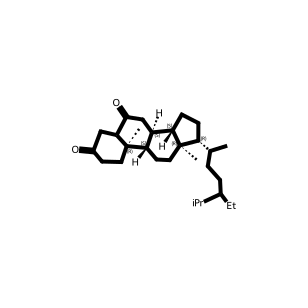 CCC(CCC(C)[C@H]1CC[C@H]2[C@@H]3CC(=O)C4CC(=O)CC[C@]4(C)[C@H]3CC[C@]12C)C(C)C